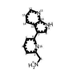 NCc1cccc(-c2c[nH]c3ncccc23)n1